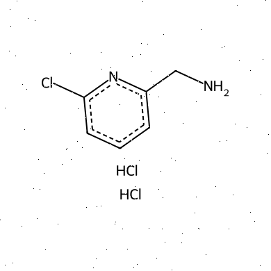 Cl.Cl.NCc1cccc(Cl)n1